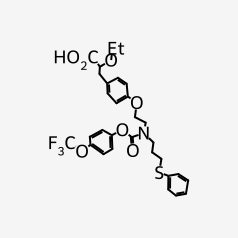 CCOC(Cc1ccc(OCCN(CCCSc2ccccc2)C(=O)Oc2ccc(OC(F)(F)F)cc2)cc1)C(=O)O